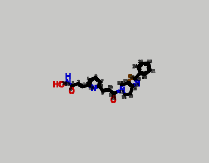 O=C(/C=C/c1cccc(/C=C/C(=O)N2CCc3nc(-c4ccccc4)sc3C2)n1)NO